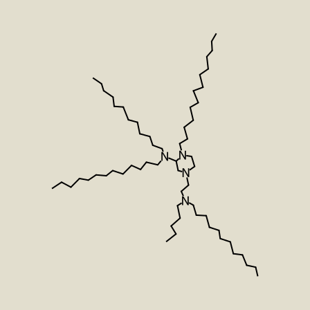 CCCCCCCCCCCCCCN1CCN(CCN(CCCCC)CCCCCCCCCCCC)CC1N(CCCCCCCCCCCC)CCCCCCCCCCCCC